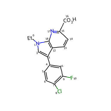 CCn1cc(-c2ccc(Cl)c(F)c2)c2ccc(C(=O)O)nc21